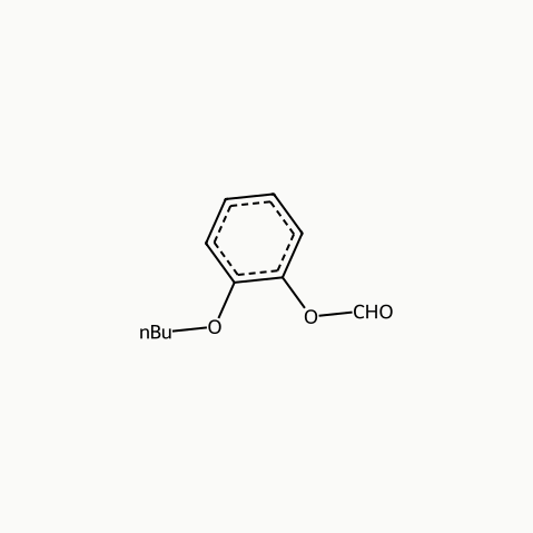 CCCCOc1ccccc1OC=O